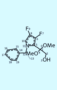 COC(CO)(OC)c1c(F)c(F)cn1[C@H](C)c1ccccc1